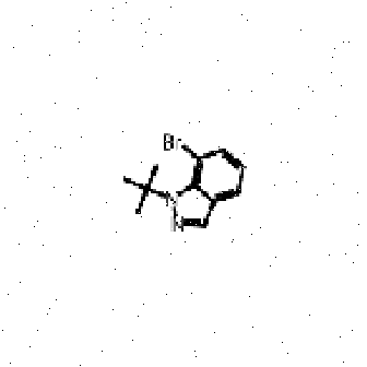 CC(C)(C)n1ncc2cccc(Br)c21